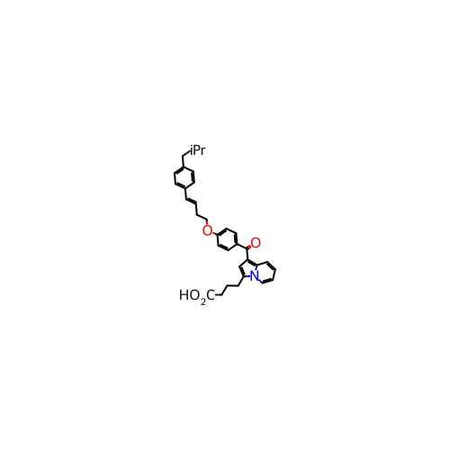 CC(C)Cc1ccc(C=CCCOc2ccc(C(=O)c3cc(CCCC(=O)O)n4ccccc34)cc2)cc1